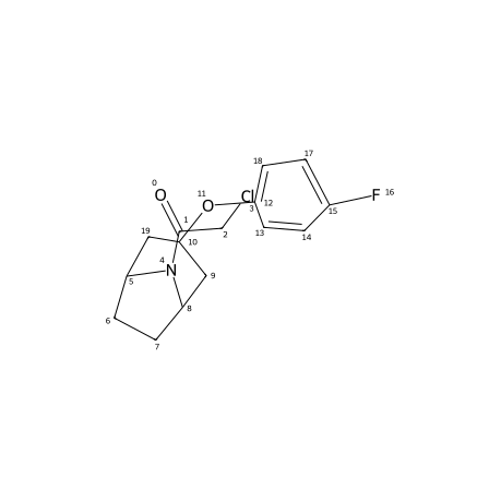 O=C(CCl)N1C2CCC1CC(Oc1ccc(F)cc1)C2